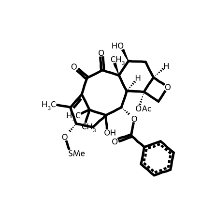 CSO[C@H]1CC2(O)[C@@H](OC(=O)c3ccccc3)[C@@H]3[C@]4(OC(C)=O)CO[C@@H]4C[C@H](O)[C@@]3(C)C(=O)C(=O)C(=C1C)C2(C)C